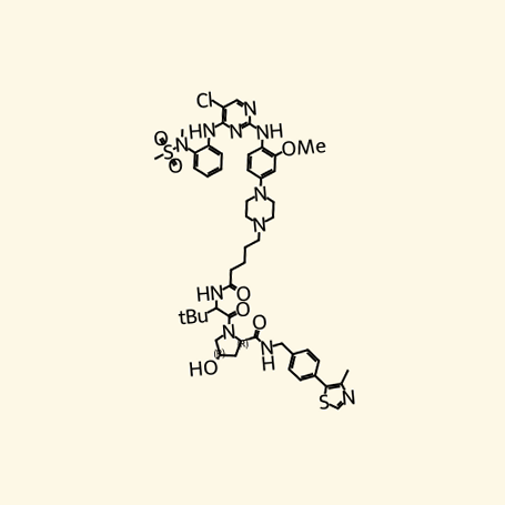 COc1cc(N2CCN(CCCCC(=O)NC(C(=O)N3C[C@H](O)C[C@@H]3C(=O)NCc3ccc(-c4scnc4C)cc3)C(C)(C)C)CC2)ccc1Nc1ncc(Cl)c(Nc2ccccc2N(C)S(C)(=O)=O)n1